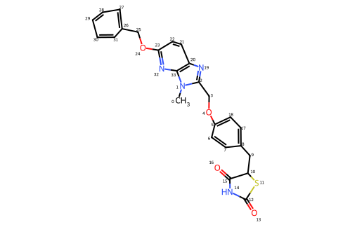 Cn1c(COc2ccc(CC3SC(=O)NC3=O)cc2)nc2ccc(OCc3ccccc3)nc21